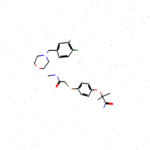 CC(C)(Oc1ccc(SCC(=O)NC[C@H]2CN(Cc3ccc(Cl)c(Cl)c3)CCO2)cc1)C(N)=O